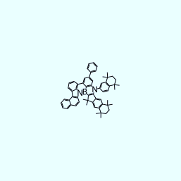 CC1(C)CCC(C)(C)c2cc(N3C4=C(B5c6c(cc(-c7ccccc7)cc63)-c3cccc6c7c8ccccc8ccc7n5c36)C(C)(C)c3cc5c(cc34)C(C)(C)CCC5(C)C)ccc21